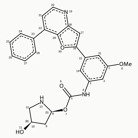 COc1cc(NC(=O)O[C@H]2C[C@@H](O)CN2)cc(-c2cc3nccc(-c4ccccc4)c3o2)c1